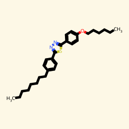 CCCCCCCCc1ccc(-c2nnc(-c3ccc(OCCCCCC)cc3)s2)cc1